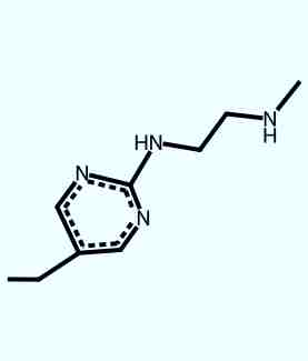 CCc1cnc(NCCNC)nc1